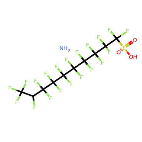 N.O=S(=O)(O)C(F)(F)C(F)(F)C(F)(F)C(F)(F)C(F)(F)C(F)(F)C(F)(F)C(F)(F)C(F)C(F)(F)F